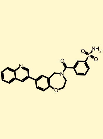 NS(=O)(=O)c1cccc(C(=O)N2CCOc3ccc(-c4cnc5ccccc5c4)cc3C2)c1